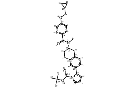 CN(C(=O)c1ccc(OCC2CC2)cn1)[C@H]1CCc2cc(-c3cccn3C(=O)OC(C)(C)C)ccc2C1